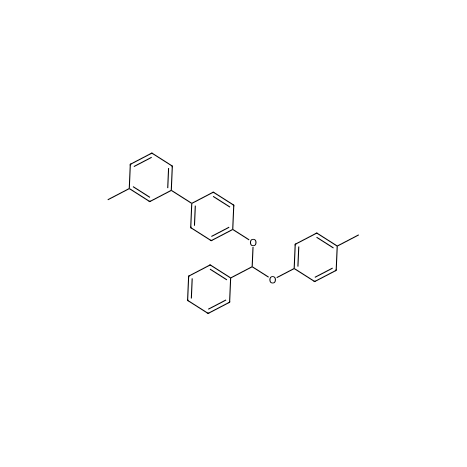 Cc1ccc(OC(Oc2ccc(-c3cccc(C)c3)cc2)c2ccccc2)cc1